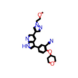 COCCn1cc(-c2cnc3[nH]cc(-c4ccc(OC5CCOCC5)c(C#N)c4)c3c2)cn1